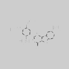 Bc1ccc2oc3c(=O)[nH]c(-c4cc(OC)c(OC)cc4B)nc3c2c1